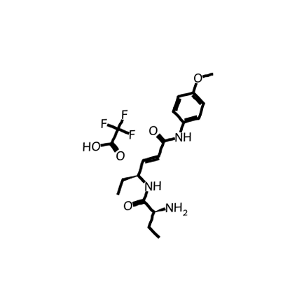 CC[C@@H](C=CC(=O)Nc1ccc(OC)cc1)NC(=O)[C@@H](N)CC.O=C(O)C(F)(F)F